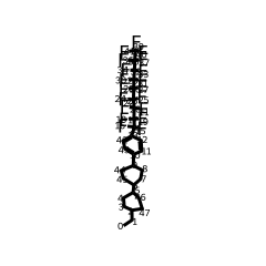 CCC1CCC(C2CCC(c3ccc(C(F)(F)C(F)(F)C(F)(F)C(F)(F)C(F)(F)C(F)(F)C(F)(F)C(F)(F)C(F)(F)F)cc3)CC2)CC1